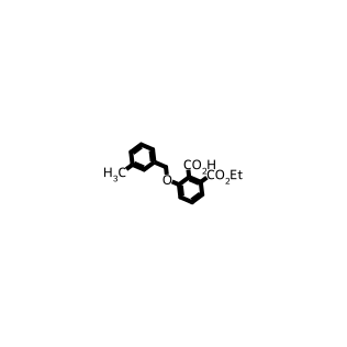 CCOC(=O)c1cccc(OCc2cccc(C)c2)c1C(=O)O